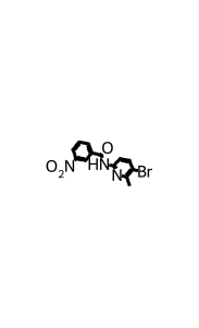 Cc1nc(NC(=O)c2cccc([N+](=O)[O-])c2)ccc1Br